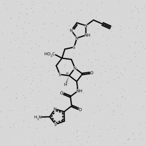 C#CCN1C=NN(SCC2(C(=O)O)CS[C@@H]3C(NC(=O)C(=O)c4csc(N)n4)C(=O)N3C2)N1